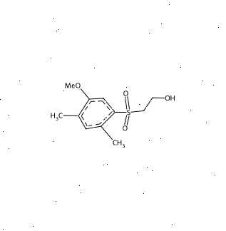 COc1cc(S(=O)(=O)CCO)c(C)cc1C